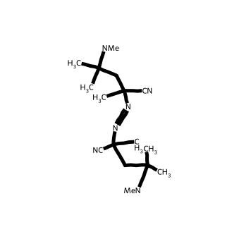 CNC(C)(C)CC(C)(C#N)/N=N/C(C)(C#N)CC(C)(C)NC